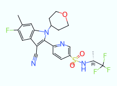 Cc1cc2c(cc1F)c(C#N)c(-c1ccc(S(=O)(=O)N[C@H](C)C(F)(F)F)cn1)n2C1CCOCC1